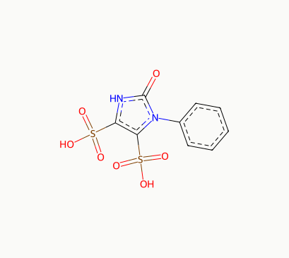 O=c1[nH]c(S(=O)(=O)O)c(S(=O)(=O)O)n1-c1ccccc1